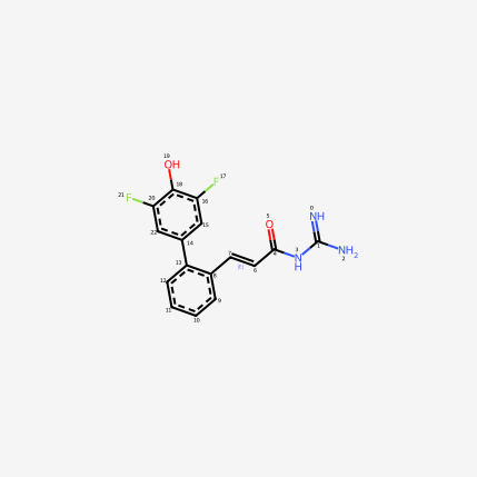 N=C(N)NC(=O)/C=C/c1ccccc1-c1cc(F)c(O)c(F)c1